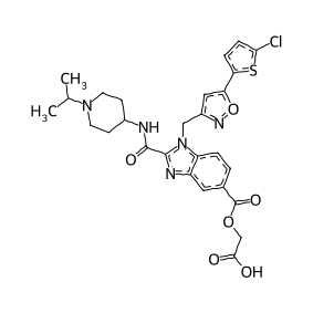 CC(C)N1CCC(NC(=O)c2nc3cc(C(=O)OCC(=O)O)ccc3n2Cc2cc(-c3ccc(Cl)s3)on2)CC1